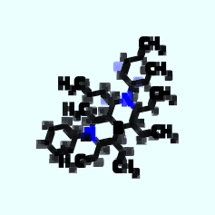 C=C/C=C\C(=C/C)N1C(C=C)=C(C=C)B2C(C=C)=C(C=C)N(c3ccccc3)C(C)=C2/C1=C\C=C